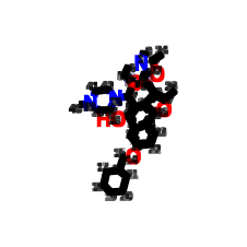 C=N/C=C\C(=C/C)C(c1c(O)c2cc(OCC3CCCCC3)ccc2c2oc(C)c(C(=O)OCC)c12)N1CCN(C)CC1